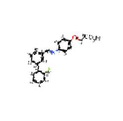 O=C(O)COc1ccc(N=Cc2cccc(-c3ccccc3F)c2)cc1